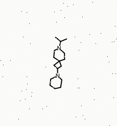 CC(C)N1CCC2(CC1)CC(N1CCCCC1)C2